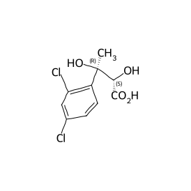 C[C@@](O)(c1ccc(Cl)cc1Cl)[C@H](O)C(=O)O